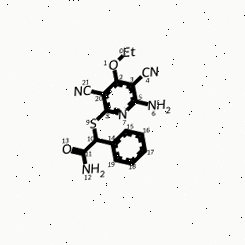 CCOc1c(C#N)c(N)nc(SC(C(N)=O)c2ccccc2)c1C#N